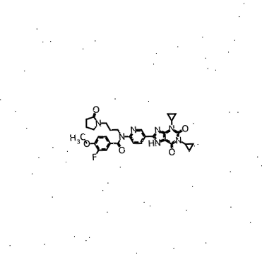 COc1ccc(C(=O)N(CCCN2CCCC2=O)c2ccc(-c3nc4c([nH]3)c(=O)n(C3CC3)c(=O)n4C3CC3)cn2)cc1F